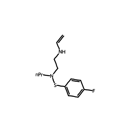 C=CNCCN(CCC)Sc1ccc(F)cc1